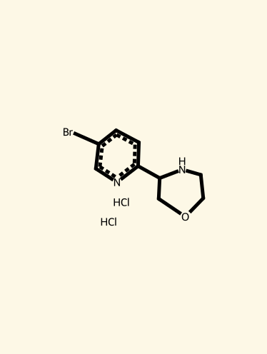 Brc1ccc(C2COCCN2)nc1.Cl.Cl